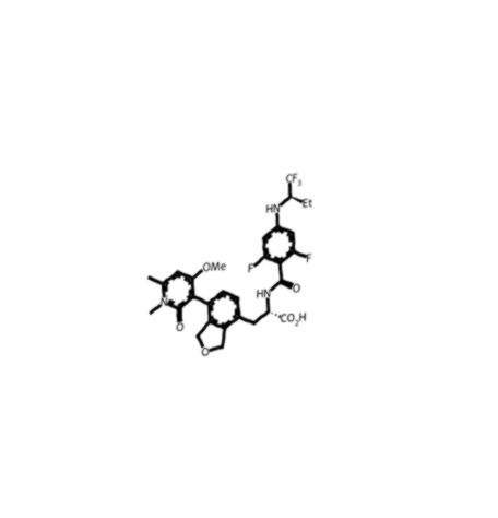 CC[C@@H](Nc1cc(F)c(C(=O)N[C@@H](Cc2ccc(-c3c(OC)cc(C)n(C)c3=O)c3c2COC3)C(=O)O)c(F)c1)C(F)(F)F